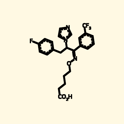 O=C(O)CCCCON=C(c1cccc(C(F)(F)F)c1)C(Cc1ccc(F)cc1)n1ccnc1